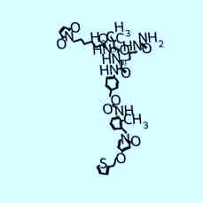 Cc1c(Cn2ccc(OCCc3cccs3)cc2=O)cccc1NC(=O)OCc1ccc(NC(=O)[C@H](CCCNC(N)=O)NC(=O)[C@@H](NC(=O)CCCCCN2C(=O)C=CC2=O)C(C)C)cc1